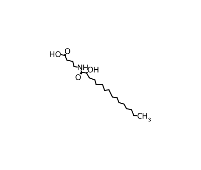 CCCCCCCCCCCCCCC(O)C(=O)NCCCC(=O)O